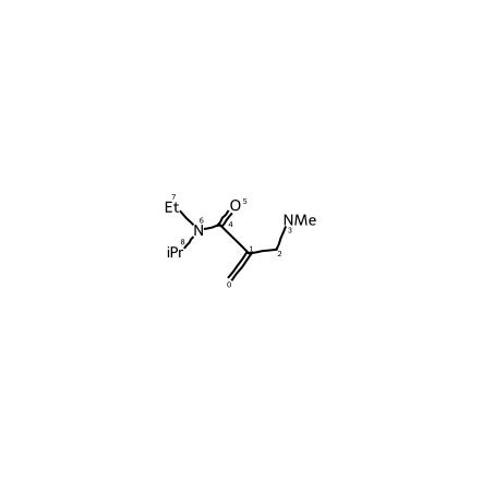 C=C(CNC)C(=O)N(CC)C(C)C